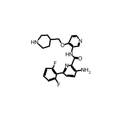 Nc1ccc(-c2c(F)cccc2F)nc1C(=O)Nc1cnccc1OCC1CCNCC1